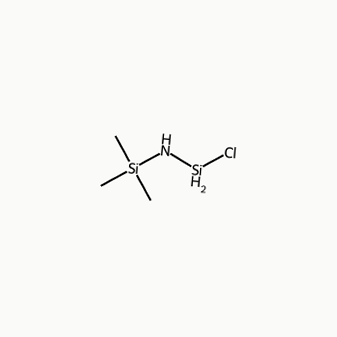 C[Si](C)(C)N[SiH2]Cl